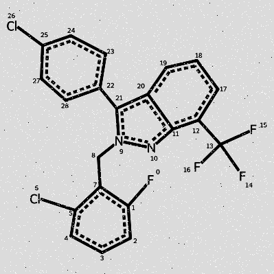 Fc1cccc(Cl)c1Cn1nc2c(C(F)(F)F)cccc2c1-c1ccc(Cl)cc1